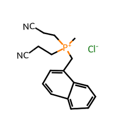 C[P+](CCC#N)(CCC#N)Cc1cccc2ccccc12.[Cl-]